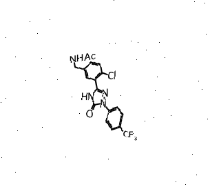 CC(=O)NCc1ccc(Cl)c(-c2nn(-c3ccc(C(F)(F)F)cc3)c(=O)[nH]2)c1